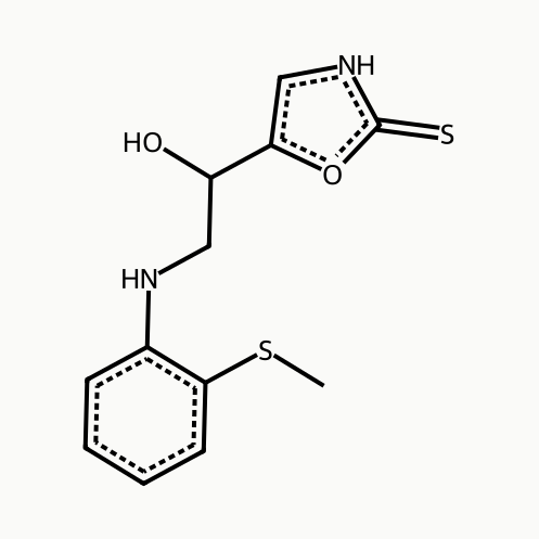 CSc1ccccc1NCC(O)c1c[nH]c(=S)o1